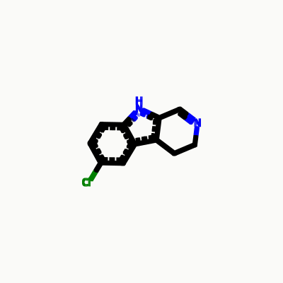 Clc1ccc2[nH]c3c(c2c1)CCN=C3